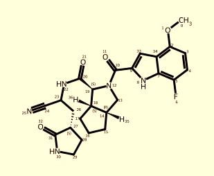 COc1ccc(F)c2[nH]c(C(=O)N3C[C@@H]4CCC[C@@H]4[C@H]3C(=O)NC(C#N)C[C@@H]3CCNC3=O)cc12